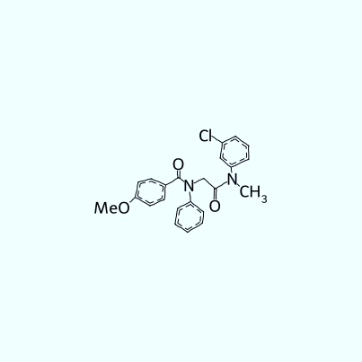 COc1ccc(C(=O)N(CC(=O)N(C)c2cccc(Cl)c2)c2ccccc2)cc1